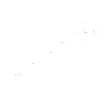 CCCCCCCCCCCCCCC(N)(CC)CC